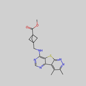 COC(=O)C12CC(CNc3ncnc4c3sc3nnc(C)c(C)c34)(C1)C2